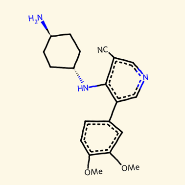 COc1ccc(-c2cncc(C#N)c2N[C@H]2CC[C@H](N)CC2)cc1OC